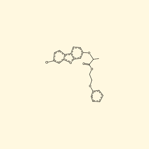 CC(Oc1ccc2c(c1)oc1cc(Cl)ccc12)C(=O)OCCOc1ccccc1